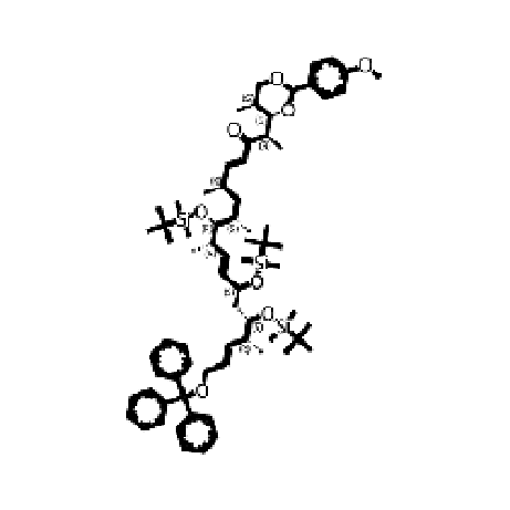 COc1ccc(C2OC[C@H](C)[C@@H]([C@@H](C)C(=O)C=C[C@H](C)C[C@H](C)[C@@H](O[Si](C)(C)C(C)(C)C)[C@@H](C)C=C[C@H](C[C@H](O[Si](C)(C)C(C)(C)C)[C@H](C)C=CCOC(c3ccccc3)(c3ccccc3)c3ccccc3)O[Si](C)(C)C(C)(C)C)O2)cc1